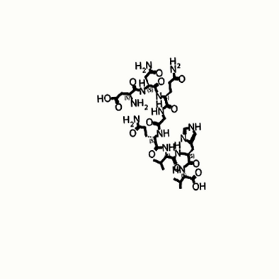 CC(C)[C@H](NC(=O)[C@H](Cc1c[nH]cn1)NC(=O)[C@@H](NC(=O)[C@H](CCC(N)=O)NC(=O)CNC(=O)[C@H](CCC(N)=O)NC(=O)[C@H](CC(N)=O)NC(=O)[C@@H](N)CC(=O)O)C(C)C)C(=O)O